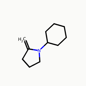 C=C1CCCN1C1CCCCC1